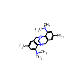 CN(C)c1cc([N+](=O)[O-])cc2c1N1Cc3cc([N+](=O)[O-])cc(N(C)C)c3N(C2)C1